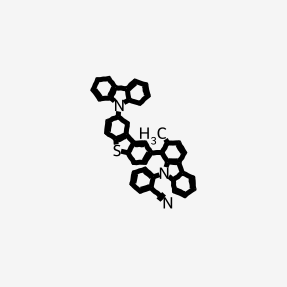 CC1C=CC2=C(C1C1=CCC3SC4=C(CC(N5C6=C(CCC=C6)C6=CC=CCC65)C=C4)C3=C1)N(c1ccccc1C#N)C1C=CC=CC21